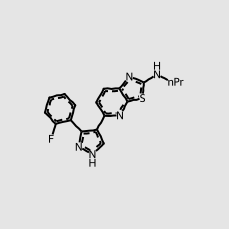 CCCNc1nc2ccc(-c3c[nH]nc3-c3ccccc3F)nc2s1